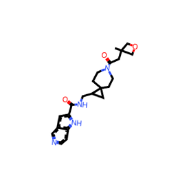 CC1(CC(=O)N2CCC3(CC2)CC3CNC(=O)c2cc3cnccc3[nH]2)COC1